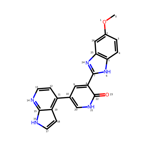 COc1ccc2[nH]c(-c3cc(-c4ccnc5[nH]ccc45)c[nH]c3=O)nc2c1